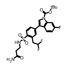 CC(C)(C)OC(=O)n1cc(-c2ccc(S(=O)(=O)NCCC(N)=O)c(CC(F)F)c2)c2ccc(F)cc21